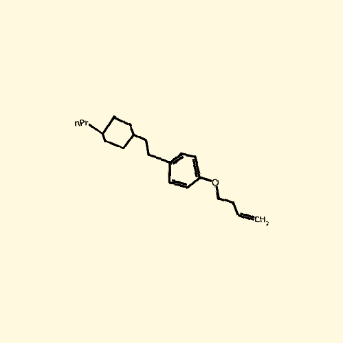 C=CCCOc1ccc(CCC2CCC(CCC)CC2)cc1